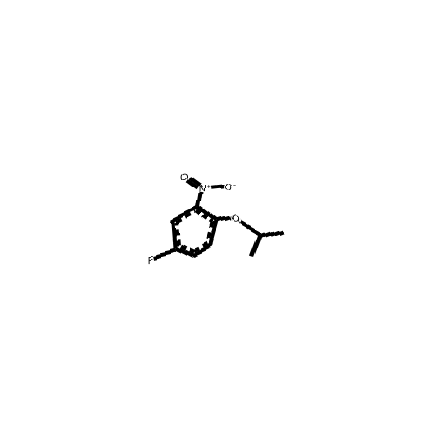 CC(C)Oc1ccc(F)cc1[N+](=O)[O-]